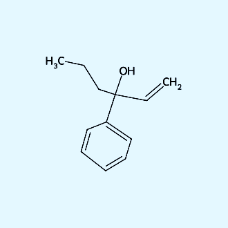 C=CC(O)(CCC)c1ccccc1